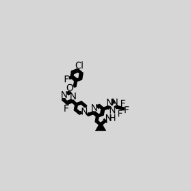 N#CC1(Cc2cc(-c3nnc(C(F)(F)F)[nH]3)cnc2CN2CCC(c3nc(OCc4ccc(Cl)cc4F)ncc3F)CC2)CC1